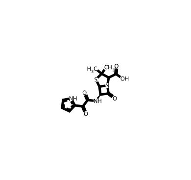 CC1(C)SC2[C@H](NC(=O)C(=O)c3ccc[nH]3)C(=O)N2C1C(=O)O